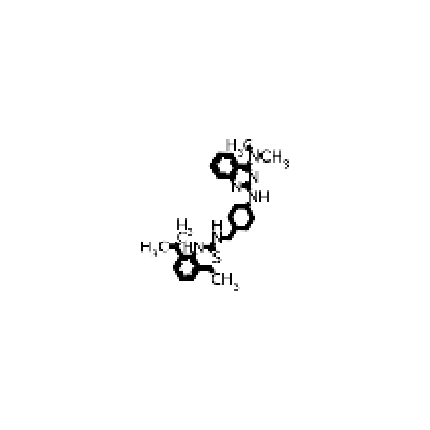 CCc1cccc(C(C)C)c1NC(=S)NCC1CCC(Nc2nc(N(C)C)c3ccccc3n2)CC1